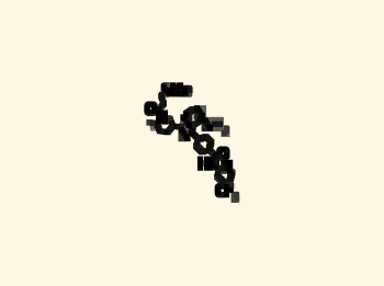 CSCCC(=O)N1CC(c2nc(-c3ccc(C(=O)Nc4cc(C(F)(F)F)ccn4)cc3)c3c(N)nccn23)CC[C@H]1C